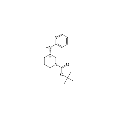 CC(C)(C)OC(=O)N1CCC[C@@H](Nc2ccccn2)C1